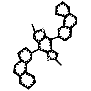 Cc1cc2c(-c3ccc4ccc5ccccc5c4c3)c3sc(C)cc3c(-c3ccc4ccc5ccccc5c4c3)c2s1